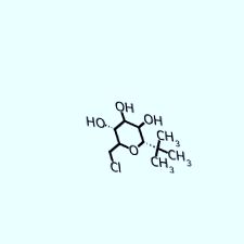 CC(C)(C)[C@@H]1OC(CCl)[C@H](O)C(O)C1O